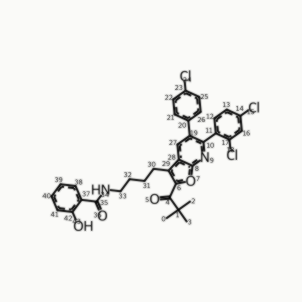 CC(C)(C)C(=O)c1oc2nc(-c3ccc(Cl)cc3Cl)c(-c3ccc(Cl)cc3)cc2c1CCCCNC(=O)c1ccccc1O